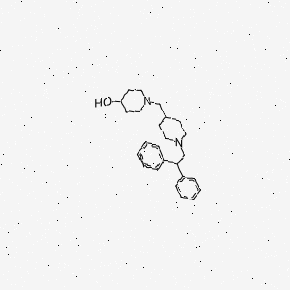 OC1CCN(CC2CCN(CC(c3ccccc3)c3ccccc3)CC2)CC1